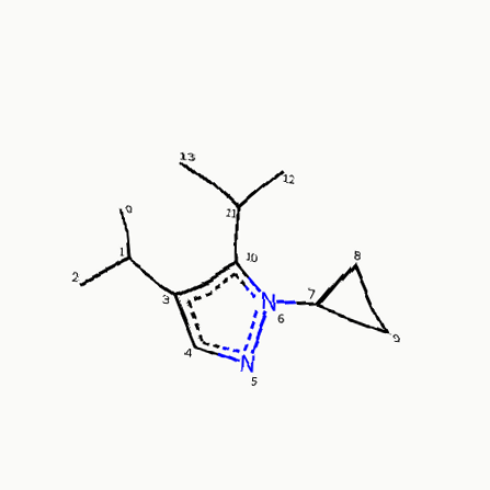 CC(C)c1cnn(C2CC2)c1C(C)C